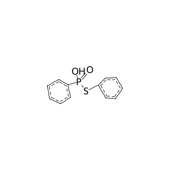 O=P(O)(Sc1ccccc1)c1ccccc1